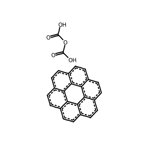 O=C(O)OC(=O)O.c1cc2ccc3ccc4ccc5ccc6ccc1c1c2c3c4c5c61